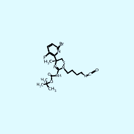 CC(C)(C)OC(=O)NC1=N[C@](C)(c2nc(Br)ccc2F)CSN1CCCCN=C=O